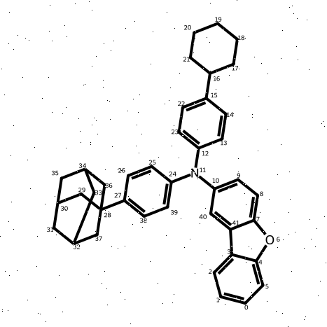 c1ccc2c(c1)oc1ccc(N(c3ccc(C4CCCCC4)cc3)c3ccc(C45CC6CC(CC(C6)C4)C5)cc3)cc12